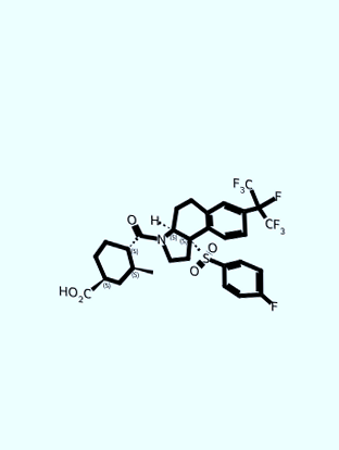 C[C@H]1C[C@@H](C(=O)O)CC[C@@H]1C(=O)N1CC[C@]2(S(=O)(=O)c3ccc(F)cc3)c3ccc(C(F)(C(F)(F)F)C(F)(F)F)cc3CC[C@H]12